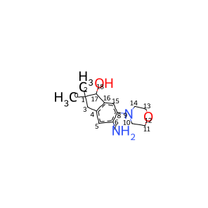 CC1(C)Cc2cc(N)c(N3CCOCC3)cc2C1O